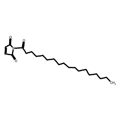 CCCCCCCCCCCCCCCCCC(=O)N1C(=O)C=CC1=O